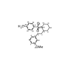 COc1cccc(CCC2CCCCN2S(=O)(=O)c2ccc(C)cc2)c1